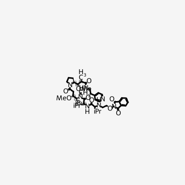 CC[C@H](C)[C@@H]([C@@H](CC(=O)N1CCC[C@H]1[C@H](OC)[C@@H](C)C(=O)NCCc1ccncc1)OC)N(C)C(=O)[C@@H](NC(=O)C(NCCON1C(=O)c2ccccc2C1=O)C(C)C)C(C)C